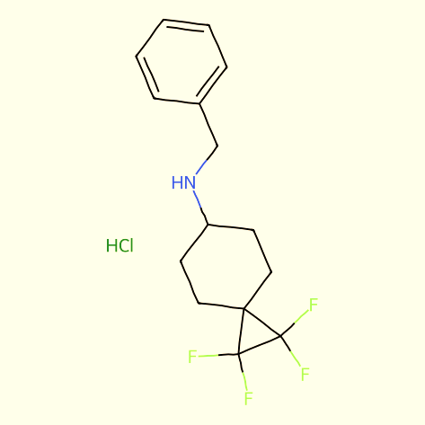 Cl.FC1(F)C(F)(F)C12CCC(NCc1ccccc1)CC2